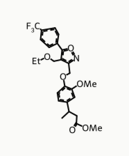 CCOCc1c(COc2ccc(C(C)CC(=O)OC)cc2OC)noc1-c1ccc(C(F)(F)F)cc1